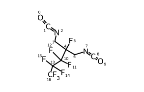 O=C=NCC(F)(CN=C=O)C(F)(F)C(F)(F)C(F)(F)F